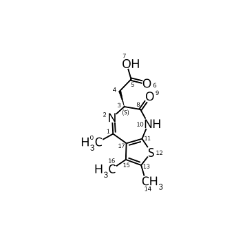 CC1=N[C@@H](CC(=O)O)C(=O)Nc2sc(C)c(C)c21